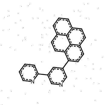 c1ccc(-c2cncc(-c3ccc4ccc5cccc6ccc3c4c56)c2)nc1